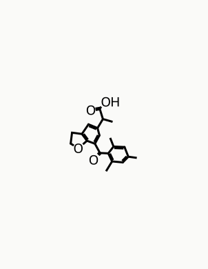 Cc1cc(C)c(C(=O)c2cc(C(C)C(=O)O)cc3c2OCC3)c(C)c1